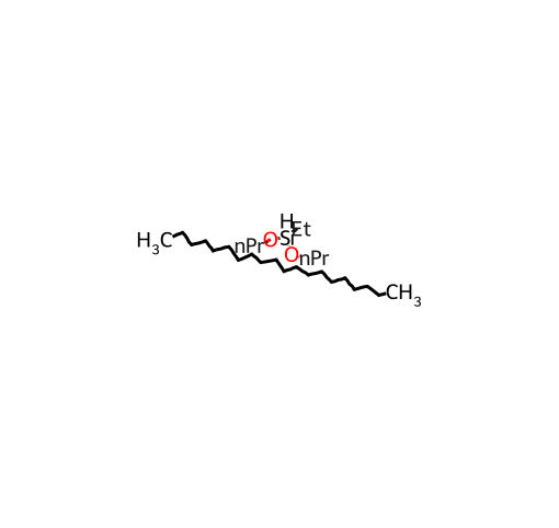 CCCCCCCCCCCCCCCCCCCC.CCCO[SiH](CC)OCCC